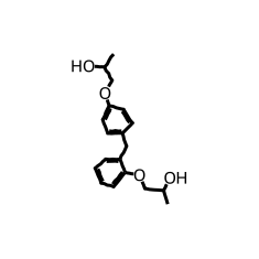 CC(O)COc1ccc(Cc2ccccc2OCC(C)O)cc1